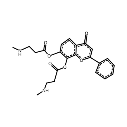 CNCCC(=O)Oc1ccc2c(=O)cc(-c3ccccc3)oc2c1OC(=O)CCNC